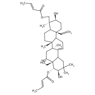 C=C[C@]12CC[C@H](O)[C@](C)(COC(=O)/C=C/C)C1CC[C@]1(C)C2CC=C2C3CC(C)(C)[C@@H](O)[C@H](OC(=O)/C=C/C)[C@]3(CO)[C@H](O)C[C@]21C